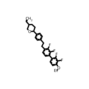 C=CC1CCC(c2ccc(CCc3ccc(-c4ccc(OCC)c(F)c4F)c(F)c3F)cc2)OC1